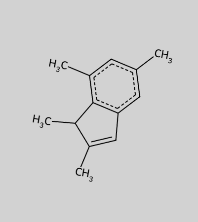 CC1=Cc2cc(C)cc(C)c2C1C